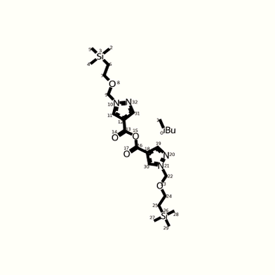 CCC(C)C.C[Si](C)(C)CCOCn1cc(C(=O)OC(=O)c2cnn(COCC[Si](C)(C)C)c2)cn1